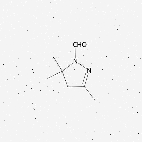 CC1=NN(C=O)C(C)(C)C1